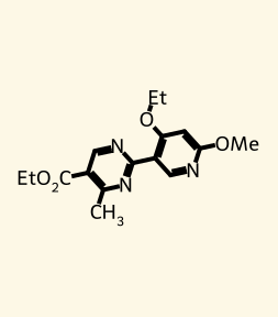 CCOC(=O)c1cnc(-c2cnc(OC)cc2OCC)nc1C